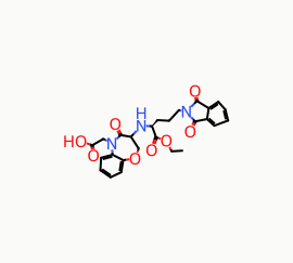 CCOC(=O)[C@H](CCCN1C(=O)c2ccccc2C1=O)NC1COc2ccccc2N(CC(=O)O)C1=O